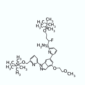 COCCOc1cc(-c2cccc([C@@H](N)C(F)CCO[Si](C)(C)C(C)(C)C)n2)cc2c1cnn2-c1cccc(CO[Si](C)(C)C(C)(C)C)n1